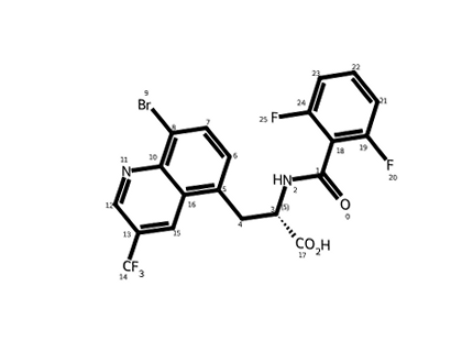 O=C(N[C@@H](Cc1ccc(Br)c2ncc(C(F)(F)F)cc12)C(=O)O)c1c(F)cccc1F